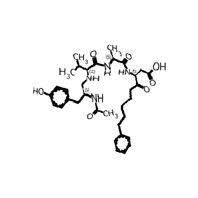 CC(=O)N[C@H](CN[C@H](C(=O)N[C@@H](C)C(=O)N[C@@H](CC(=O)O)C(=O)CCCCCc1ccccc1)C(C)C)Cc1ccc(O)cc1